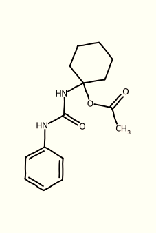 CC(=O)OC1(NC(=O)Nc2ccccc2)CCCCC1